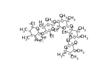 [4H]/P=N\[C@H]1C(C)[C@H](C)C(CC)O[C@H]1O[C@@H]1C(CC)O[C@@H](O[C@@H]2C(CC)O[C@@H](O[C@@H]3C(CC)O[C@@H](O[C@@H]4C(CC)O[C@@H](C)[C@@H](C)C4C)[C@@H](C)C3C)[C@@H](C)C2C)[C@@H](C)C1C